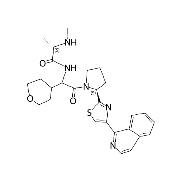 CN[C@@H](C)C(=O)NC(C(=O)N1CCC[C@H]1c1nc(-c2nccc3ccccc23)cs1)C1CCOCC1